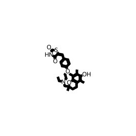 CCN(CCOc1ccc(/C=C2/SC(=O)NC2=O)cc1)CC1(C)CCc2c(C)c(O)c(C)c(C)c2O1